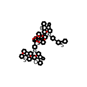 c1ccc2c(c1)Oc1ccccc1C21c2ccccc2-c2ccc(N(c3ccc(-c4cccc5c4sc4ccc(-c6ccc7c(c6)Oc6ccccc6C76c7ccccc7-c7ccc(N(c8ccc(-c9ccc%10sc%11ccccc%11c%10c9)cc8)c8ccc9c(c8)-c8ccccc8C98c9ccccc9Sc9ccccc98)cc76)cc45)cc3)c3ccc4c(c3)-c3ccccc3C43c4ccccc4Sc4ccccc43)cc21